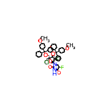 COc1ccc(C(OC[C@@]2(CCl)O[C@@H](n3cc(F)c(=O)[nH]c3=O)[C@@H](Cl)[C@@H]2OC(c2ccccc2)(c2ccccc2)c2ccc(OC)cc2)(c2ccccc2)c2ccccc2)cc1